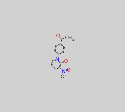 CC(=O)c1ccc(-n2cccc([N+](=O)[O-])c2=O)cc1